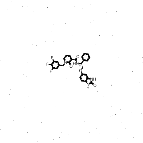 O=C(N[C@@H](COc1ccc2[nH]c(=O)[nH]c2c1)c1ccccc1)c1cccn(Cc2cc(F)c(F)c(F)c2)c1=O